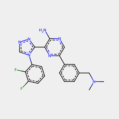 CN(C)Cc1cccc(-c2cnc(N)c(-c3nncn3-c3cccc(F)c3F)n2)c1